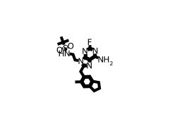 Cc1cc2c(cc1Cc1nc3c(N)nc(F)nc3n1CCNS(=O)(=O)C(C)(C)C)CCC2